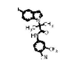 CC(C)(C(=O)Nc1ccc(C#N)c(C(F)(F)F)c1)n1ccc2cc(I)ccc21